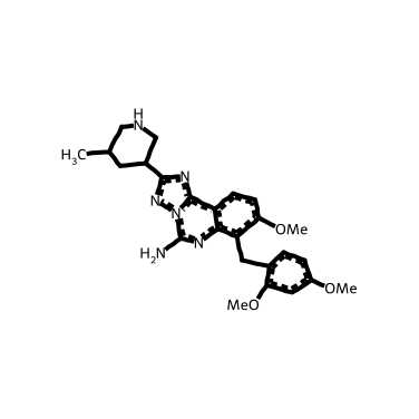 COc1ccc(Cc2c(OC)ccc3c2nc(N)n2nc(C4CNCC(C)C4)nc32)c(OC)c1